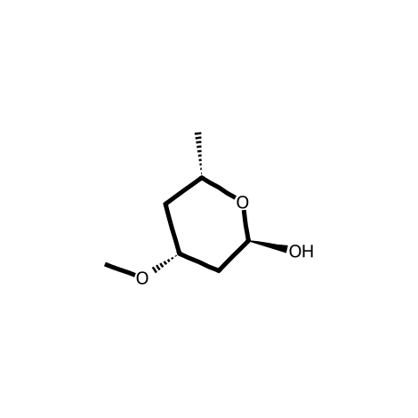 CO[C@@H]1C[C@H](C)O[C@@H](O)C1